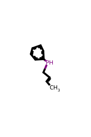 CC=CCPc1ccccc1